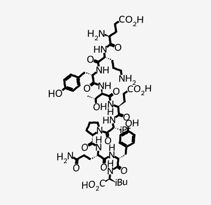 CC[C@H](C)[C@H](NC(=O)[C@@H](Cc1ccc(O)cc1)NC(=O)[C@H](CCC(N)=O)NC(=O)[C@@H]1CCCN1C(=O)[C@H](NC(=O)[C@H](CCC(=O)O)NC(=O)[C@H](NC(=O)[C@H](Cc1ccc(O)cc1)NC(=O)[C@@H](CCCN)NC(=O)[C@@H](N)CCC(=O)O)[C@@H](C)O)C(C)C)C(=O)O